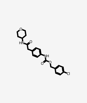 O=C(Cc1ccc(NC(=O)OCc2ccc(Cl)cc2)cc1)NC1CCOCC1